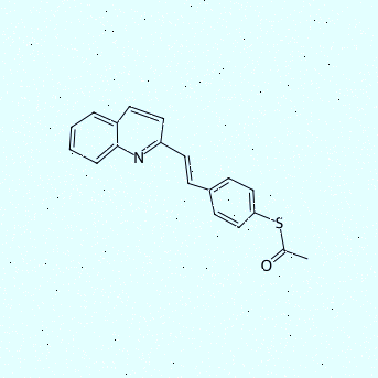 CC(=O)Sc1ccc(C=Cc2ccc3ccccc3n2)cc1